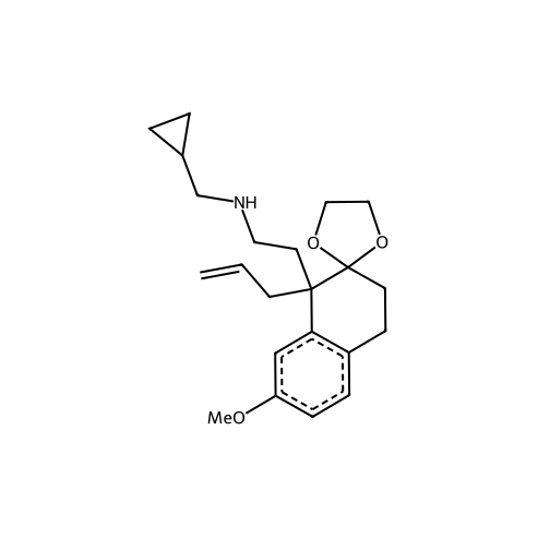 C=CCC1(CCNCC2CC2)c2cc(OC)ccc2CCC12OCCO2